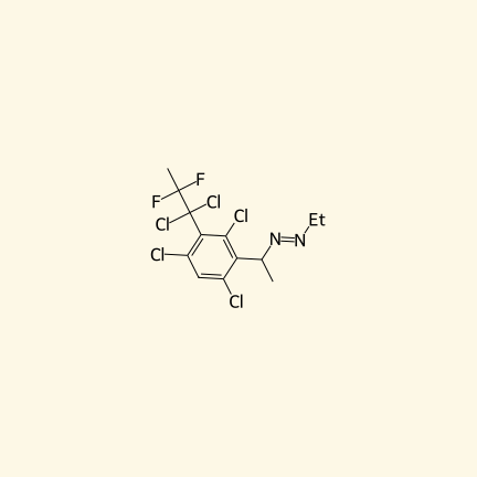 CCN=NC(C)c1c(Cl)cc(Cl)c(C(Cl)(Cl)C(C)(F)F)c1Cl